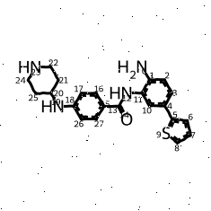 Nc1ccc(-c2cccs2)cc1NC(=O)c1ccc(NC2CCNCC2)cc1